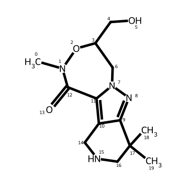 CN1OC(CO)Cn2nc3c(c2C1=O)CNCC3(C)C